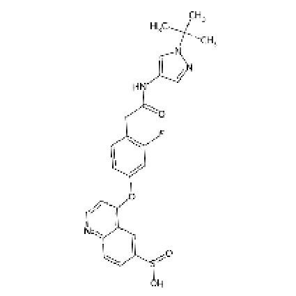 CC(C)(C)n1cc(NC(=O)Cc2ccc(Oc3ccnc4ccc(S(=O)O)cc34)cc2F)cn1